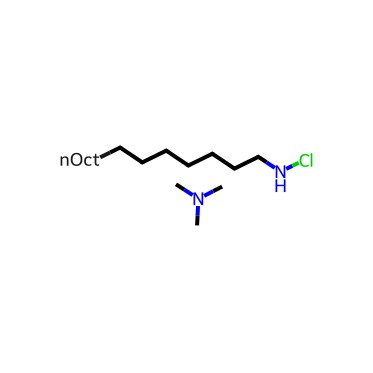 CCCCCCCCCCCCCCCNCl.CN(C)C